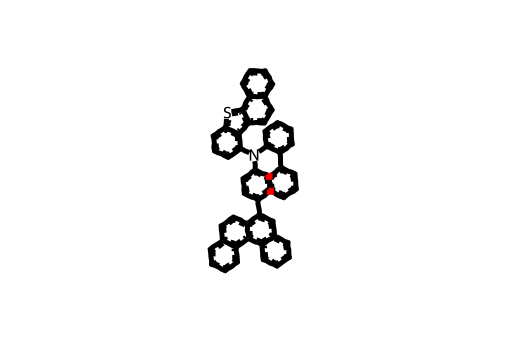 c1ccc(-c2ccccc2N(c2ccc(-c3cc4ccccc4c4c3ccc3ccccc34)cc2)c2cccc3sc4c5ccccc5ccc4c23)cc1